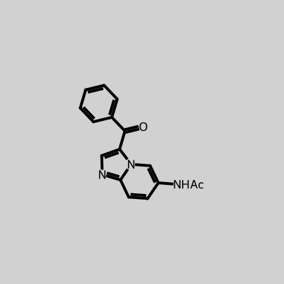 CC(=O)Nc1ccc2ncc(C(=O)c3ccccc3)n2c1